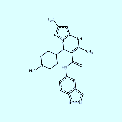 CC1=C(C(=O)Nc2ccc3[nH]ncc3c2)C(C2CCN(C)CC2)n2nc(C(F)(F)F)cc2N1